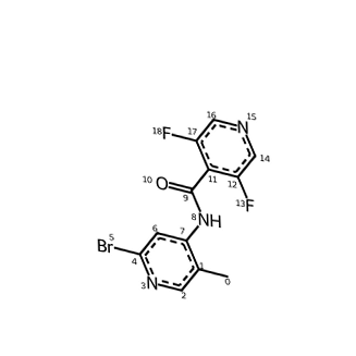 Cc1cnc(Br)cc1NC(=O)c1c(F)cncc1F